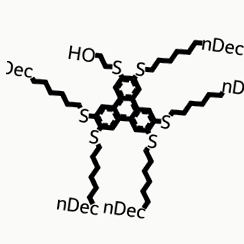 CCCCCCCCCCCCCCCCSc1cc2c(cc1SCCO)c1cc(SCCCCCCCCCCCCCCCC)c(SCCCCCCCCCCCCCCCC)cc1c1cc(SCCCCCCCCCCCCCCCC)c(SCCCCCCCCCCCCCCCC)cc21